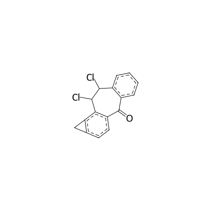 O=C1c2ccccc2C(Cl)C(Cl)c2c1ccc1c2C1